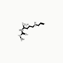 C=CCNCCCC(NC(=O)OC(C)(C)C)C(=O)O